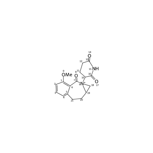 COc1cccc2c1C(=O)[N+]1(C3CCC(=O)NC3=O)CC1CC2